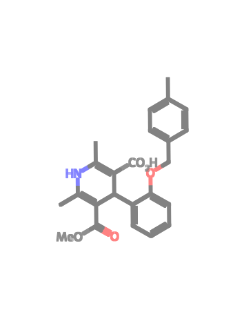 COC(=O)C1=C(C)NC(C)=C(C(=O)O)C1c1ccccc1OCc1ccc(C)cc1